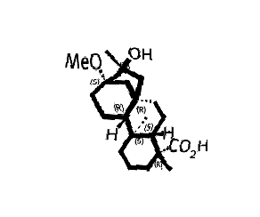 CO[C@@]12CC[C@@H]3[C@@](CC[C@H]4[C@@]3(C)CCC[C@@]4(C)C(=O)O)(C1)C[C@@]2(C)O